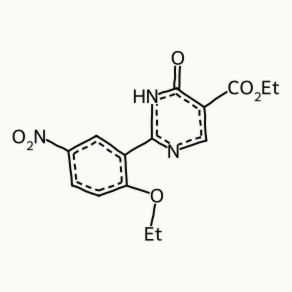 CCOC(=O)c1cnc(-c2cc([N+](=O)[O-])ccc2OCC)[nH]c1=O